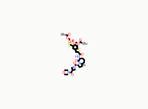 CC(C)(C)C(=O)OCOP(=O)(OCOC(=O)C(C)(C)C)C(F)(F)c1ccc2sc(C(=O)N[C@H]3CCC[C@H]4CC[C@@H](C(=O)N5CC(C(=O)N6CCOCC6)C5)N4C3=O)cc2c1